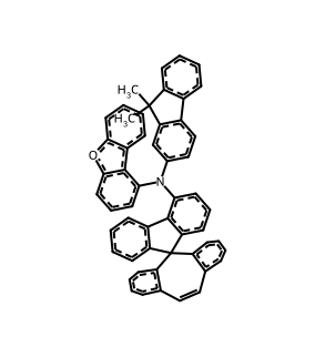 CC1(C)c2ccccc2-c2ccc(N(c3cccc4c3-c3ccccc3C43c4ccccc4C=Cc4ccccc43)c3cccc4oc5ccccc5c34)cc21